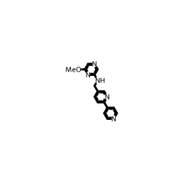 COc1cncc(NCc2ccc(-c3ccncc3)nc2)n1